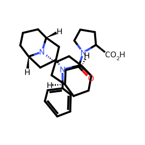 O=C(O)C1CCCN1C(=O)N(c1ccccc1)[C@H]1C[C@H]2CCC[C@@H](C1)N2[C@H]1C[C@@H]2CCC[C@@H](C2)C1